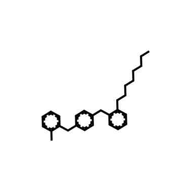 CCCCCCCCc1ccccc1Cc1ccc(Cc2ccccc2C)cc1